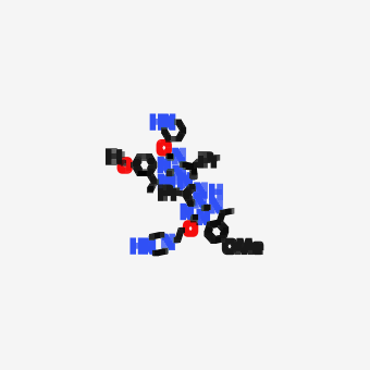 CCOc1cccc([C@H](C)Nc2nc(OC3CCCNC3)nc3c(C(C)C)cnn23)c1.COc1cccc(C(C)Nc2nc(OCCN3CCNCC3)nc3c(C(C)C)cnn23)c1